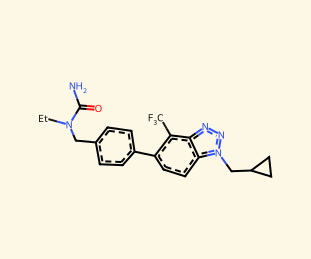 CCN(Cc1ccc(-c2ccc3c(nnn3CC3CC3)c2C(F)(F)F)cc1)C(N)=O